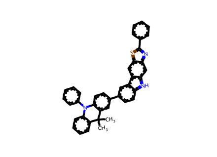 CC1(C)c2ccccc2N(c2ccccc2)c2ccc(-c3ccc4[nH]c5cc6nc(-c7ccccc7)sc6cc5c4c3)cc21